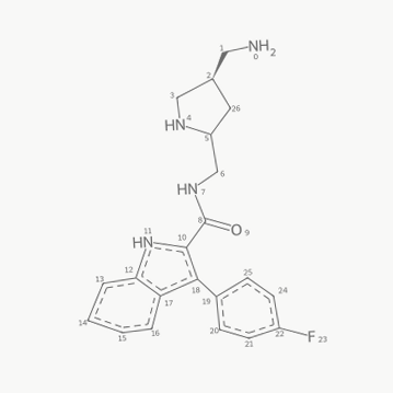 NC[C@@H]1CNC(CNC(=O)c2[nH]c3ccccc3c2-c2ccc(F)cc2)C1